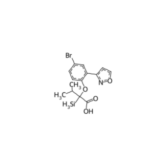 CC(C)C([SiH3])(Oc1ccc(Br)cc1-c1ccon1)C(=O)O